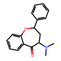 CN(C)C1CC(c2ccccc2)Oc2ccccc2C1=O